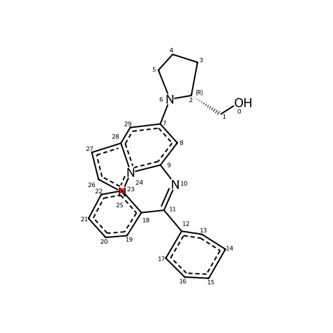 OC[C@H]1CCCN1c1cc(N=C(c2ccccc2)c2ccccc2)n2nccc2c1